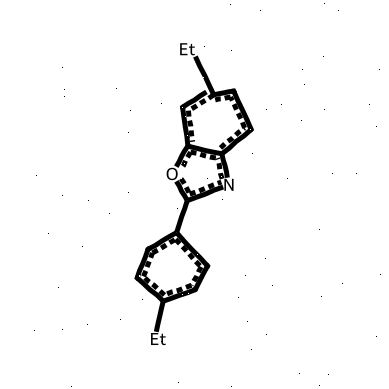 CCc1ccc(-c2nc3ccc(CC)cc3o2)cc1